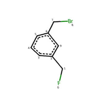 FCc1cccc(CBr)c1